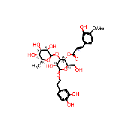 COc1ccc(/C=C/C(=O)O[C@H]2[C@H](OC3O[C@@H](C)[C@H](O)[C@@H](O)[C@H]3O)[C@@H](O)C(OCCc3ccc(O)c(O)c3)O[C@@H]2CO)cc1O